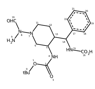 CC(C)(C)OC(=O)NC1CN(N(N)C=O)CCC1[C](NC(=O)O)c1ccccc1